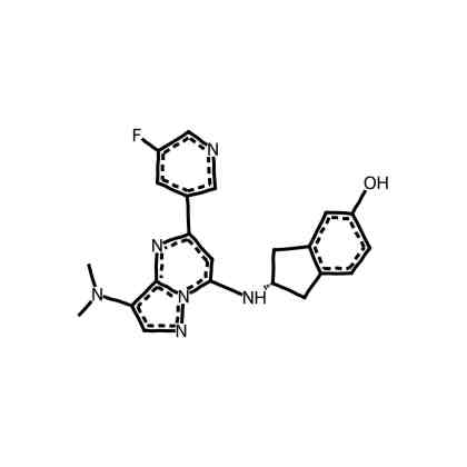 CN(C)c1cnn2c(N[C@H]3Cc4ccc(O)cc4C3)cc(-c3cncc(F)c3)nc12